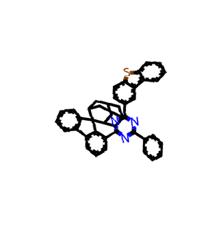 c1ccc(-c2nc(-c3ccc4sc5ccccc5c4c3)nc(-c3cccc4c3C3(c5ccccc5-4)C4CC5CC(C4)CC3C5)n2)cc1